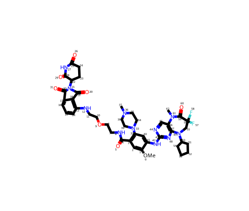 COc1cc(C(=O)NCCOCCNc2cccc3c2C(=O)N(C2CCC(=O)NC2=O)C3=O)c(N2CCN(C)CC2)cc1Nc1ncc2c(n1)N(C1CCCC1)CC(F)(F)C(=O)N2C